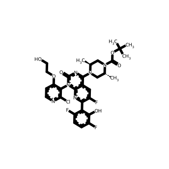 C[C@@H]1CN(c2nc(=O)n(-c3c(OCCO)ccnc3Cl)c3nc(-c4c(F)ccc(F)c4O)c(F)cc23)[C@@H](C)CN1C(=O)OC(C)(C)C